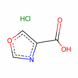 Cl.O=C(O)c1cocn1